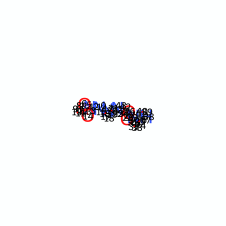 CN(CCN1COc2ccccc2C1=O)Cc1cccc(CN2CCC(OC(=O)Nc3ccccc3-c3ccccc3)CC2)n1